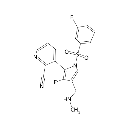 CNCc1cn(S(=O)(=O)c2cccc(F)c2)c(-c2cccnc2C#N)c1F